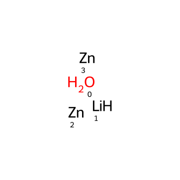 O.[LiH].[Zn].[Zn]